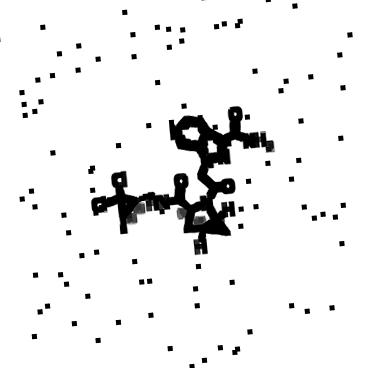 C[C@@H]1[C@@H](CNC(=O)[C@@H]2C[C@H]3C[C@H]3N2C(=O)Cn2nc(C(N)=O)c3ccncc32)C1(Cl)Cl